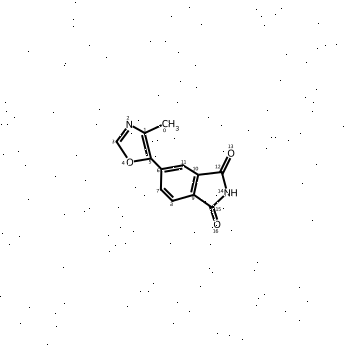 Cc1ncoc1-c1ccc2c(c1)C(=O)NC2=O